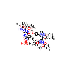 Cn1c(-c2ccc(OC[C@H](O/N=C(\C(=O)N[C@@H]3C(=O)N(OS(=O)(=O)O)C3(C)C)c3csc(NC(=O)OC(C)(C)C)n3)C(=O)OC(C)(C)C)cc2)cn(CC(CNC(=O)OC(C)(C)C)CNC(=O)OC(C)(C)C)c1=NC(=O)OC(C)(C)C